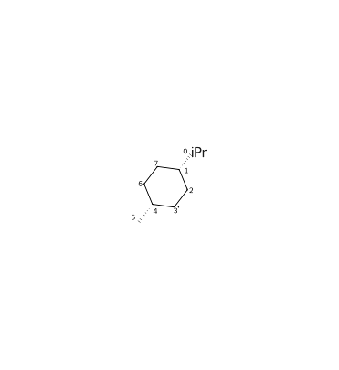 CC(C)[C@@H]1C[CH][C@H](C)CC1